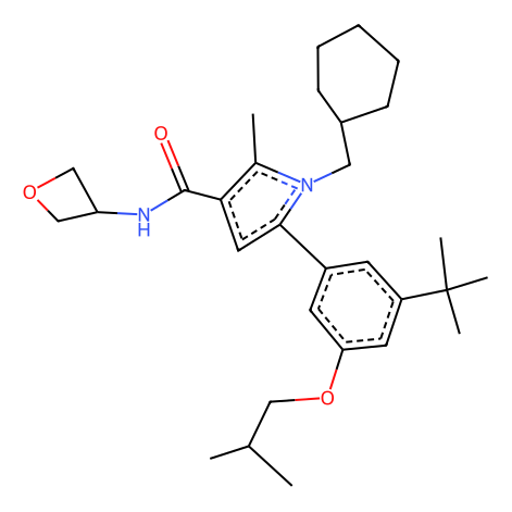 Cc1c(C(=O)NC2COC2)cc(-c2cc(OCC(C)C)cc(C(C)(C)C)c2)n1CC1CCCCC1